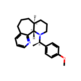 COc1ccc([C@@H](C)N2CCC[C@@H]3CCCc4cccnc4[C@H]32)cc1